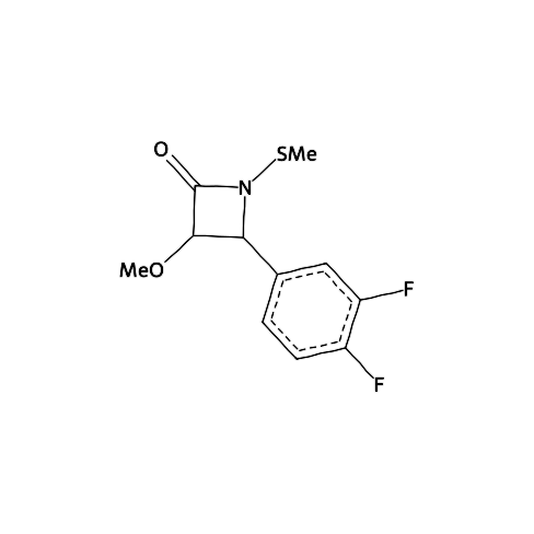 COC1C(=O)N(SC)C1c1ccc(F)c(F)c1